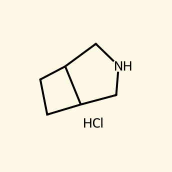 C1CC2CNCC12.Cl